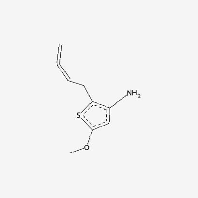 C=C=CCc1sc(OC)cc1N